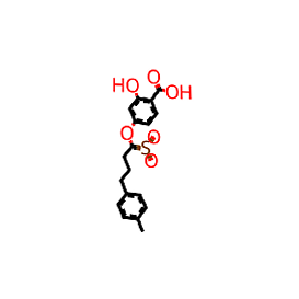 Cc1ccc(CCCC(Oc2ccc(C(=O)O)c(O)c2)=S(=O)=O)cc1